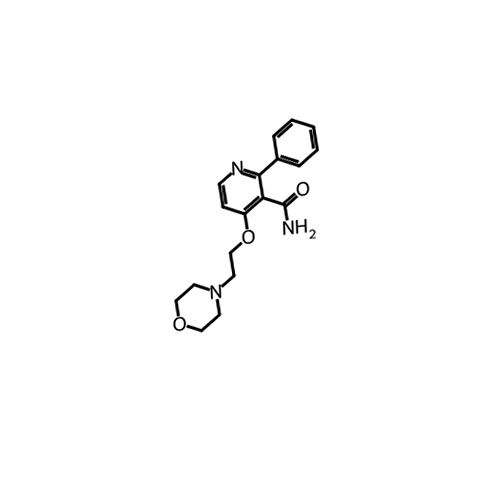 NC(=O)c1c(OCCN2CCOCC2)ccnc1-c1ccccc1